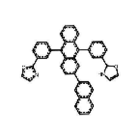 C1=COC(c2cccc(-c3c4ccccc4c(-c4cccc(-c5ncco5)c4)c4ccc(-c5ccc6ccccc6c5)cc34)c2)N1